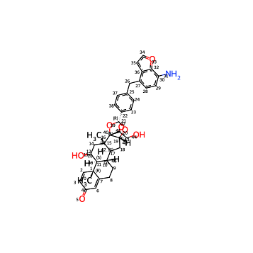 C[C@]12C=CC(=O)C=C1CC[C@@H]1[C@@H]2[C@@H](O)C[C@@]2(C)[C@H]1C[C@H]1O[C@@H](c3ccc(Cc4ccc(N)c5occc45)cc3)O[C@]12C(=O)CO